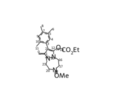 C=C1C(c2cc(C)c(C)cc2C)=C(OC(=O)OCC)N2CCN(OC)CCN12